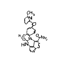 Cc1cccc(Oc2ccc(N3C(=O)Nc4ccnc5sc(C(N)=O)c3c45)c(C)c2)n1